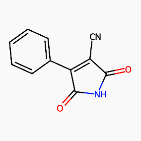 N#CC1=C(c2ccccc2)C(=O)NC1=O